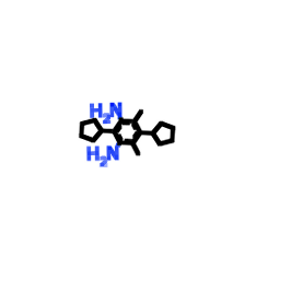 Cc1c(N)c(C2CCCC2)c(N)c(C)c1C1CCCC1